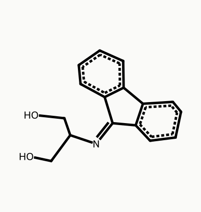 OCC(CO)N=C1c2ccccc2-c2ccccc21